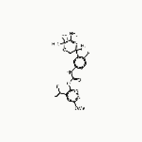 COc1cc(C(F)F)c(OC(=O)Nc2ccc(F)c(C3(C)COC(C)(C(F)(F)F)C(N)=N3)c2)nn1